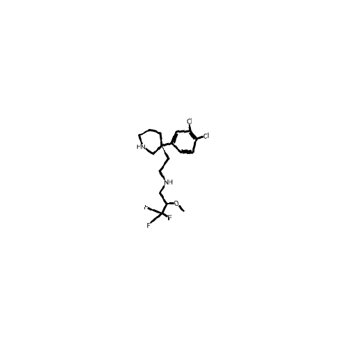 COC(CNCC[C@]1(c2ccc(Cl)c(Cl)c2)CCCNC1)C(F)(F)F